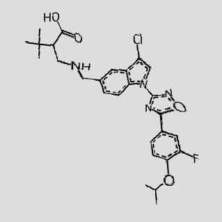 CC(C)Oc1ccc(-c2nc(-n3cc(Cl)c4cc(CNCC(C(=O)O)C(C)(C)C)ccc43)no2)cc1F